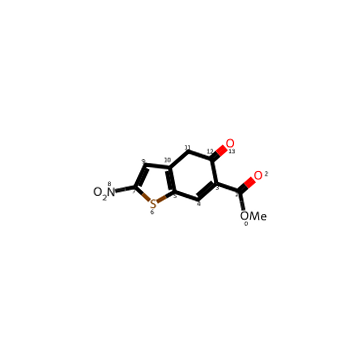 COC(=O)C1=Cc2sc([N+](=O)[O-])cc2CC1=O